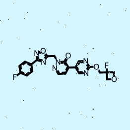 O=c1c(-c2cnc(OCC3(F)COC3)nc2)ccnn1Cc1nc(-c2ccc(F)cc2)no1